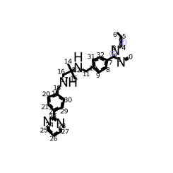 C=N/C(=N\C=C/C)c1ccc(CNC(C)(C)CNCc2ccc(-c3ncccn3)cc2)cc1